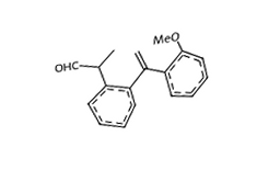 C=C(c1ccccc1OC)c1ccccc1C(C)C=O